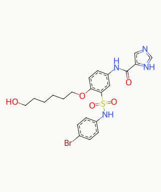 O=C(Nc1ccc(OCCCCCCO)c(S(=O)(=O)Nc2ccc(Br)cc2)c1)c1cnc[nH]1